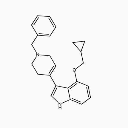 C1=C(c2c[nH]c3cccc(OCC4CC4)c23)CCN(Cc2ccccc2)C1